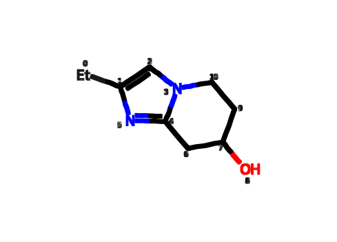 CCc1[c]n2c(n1)CC(O)CC2